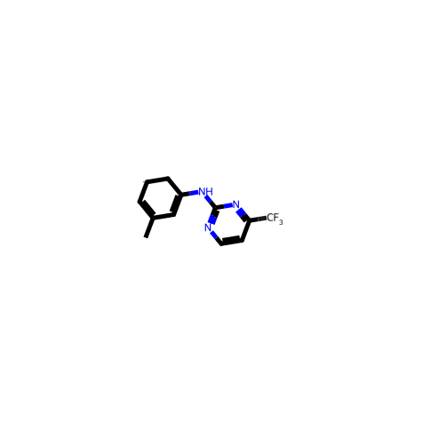 CC1=C[CH]CC(Nc2nccc(C(F)(F)F)n2)=C1